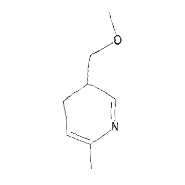 COCC1C=NC(C)=CC1